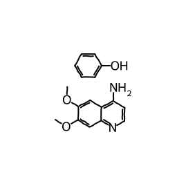 COc1cc2nccc(N)c2cc1OC.Oc1ccccc1